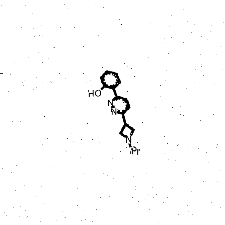 CC(C)N1CC(c2ccc(-c3ccccc3O)nn2)C1